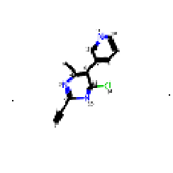 C#Cc1nc(C)c(-c2cccnc2)c(Cl)n1